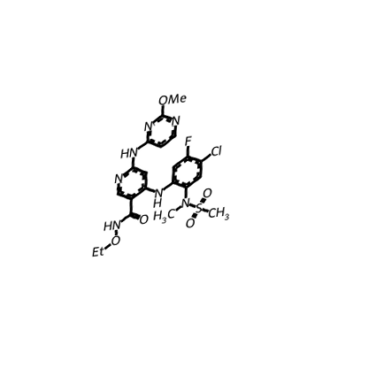 CCONC(=O)c1cnc(Nc2ccnc(OC)n2)cc1Nc1cc(F)c(Cl)cc1N(C)S(C)(=O)=O